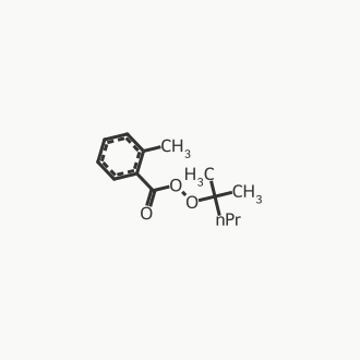 CCCC(C)(C)OOC(=O)c1ccccc1C